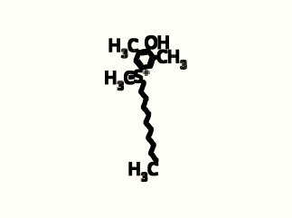 CCCCCCCCCCCC[S+](C)c1cc(C)c(O)c(C)c1